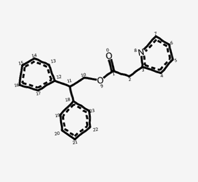 O=C(Cc1ccccn1)OCC(c1ccccc1)c1ccccc1